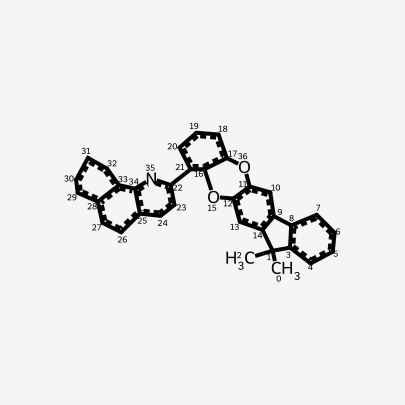 CC1(C)c2ccccc2-c2cc3c(cc21)Oc1c(cccc1-c1ccc2ccc4ccccc4c2n1)O3